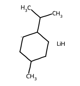 CC1C[CH]C(C(C)C)CC1.[LiH]